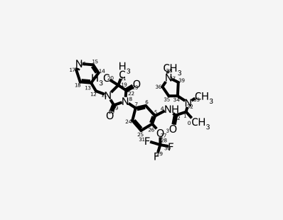 CC(C(=O)Nc1cc(N2C(=O)N(Cc3ccncc3)C(C)(C)C2=O)ccc1OC(F)(F)F)N(C)C1CCN(C)C1